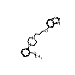 COc1ccccc1N1CCN(CCCOc2ccc3scnc3c2)CC1